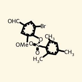 COc1cc(C=O)cc(Br)c1OS(=O)(=O)c1c(C)cc(C)cc1C